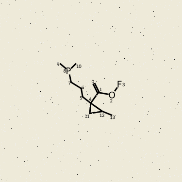 C=C(OF)C1(CCCP(C)C)CC1C